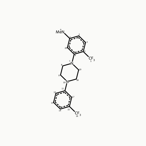 [CH2]Nc1ccc(C(F)(F)F)c(N2CCN(c3cccc(C(F)(F)F)c3)CC2)c1